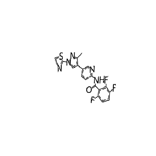 Cc1nn(-c2nccs2)cc1-c1ccc(NC(=O)c2c(F)ccc(F)c2F)nc1